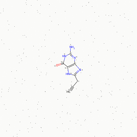 C#CCc1nc2nc(N)[nH]c(=O)c2[nH]1